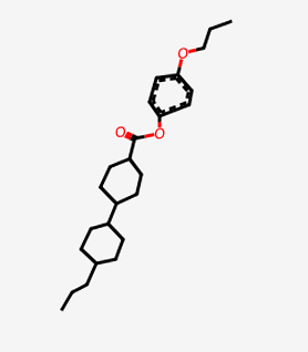 CCCOc1ccc(OC(=O)C2CCC(C3CCC(CCC)CC3)CC2)cc1